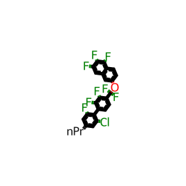 CCCc1cc(F)c(-c2ccc(C(F)(F)Oc3ccc4c(F)c(F)c(F)cc4c3)c(F)c2F)c(Cl)c1